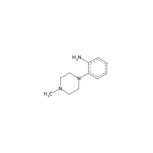 CN1CCN(c2cc[c]cc2N)CC1